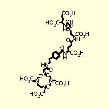 O=C(O)CC[C@H](NP(=O)(O)OCC[C@H](NC(=O)CC[C@@H](NC(=O)c1ccc(CCNC(=O)CN2CCN(CC(=O)O)CCN(CC(=O)O)CCN(CC(=O)O)CC2)cc1)C(=O)O)C(=O)O)C(=O)O